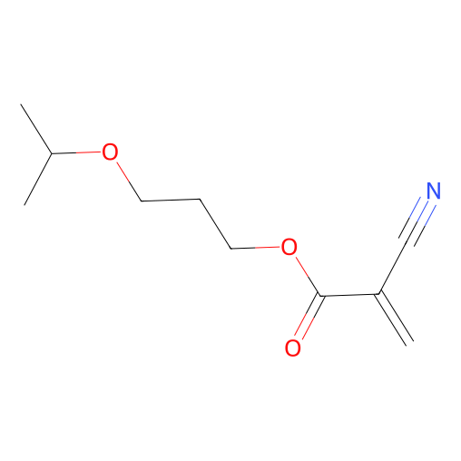 C=C(C#N)C(=O)OCCCOC(C)C